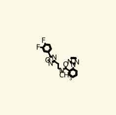 CN(CCc1noc(-c2ccc(F)c(F)c2)n1)C(=O)c1ccccc1-n1nccn1